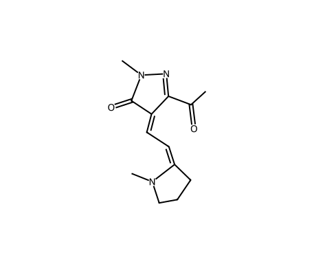 CC(=O)C1=NN(C)C(=O)/C1=C/C=C1/CCCN1C